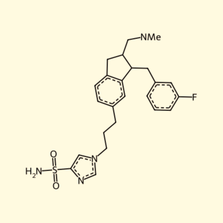 CNCC1Cc2ccc(CCCn3cnc(S(N)(=O)=O)c3)cc2C1Cc1cccc(F)c1